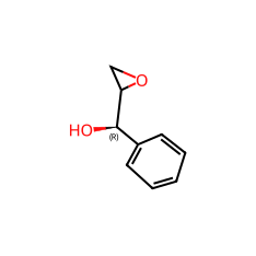 O[C@H](c1ccccc1)C1CO1